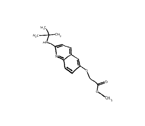 COC(=O)COc1ccc2nc(NC(C)(C)C)ccc2c1